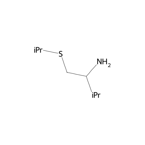 CC(C)SCC(N)C(C)C